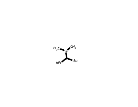 CCCC([Si](C)C)C(C)(C)C